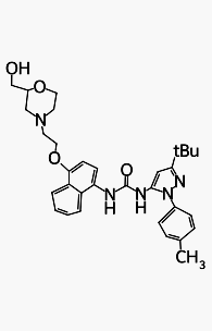 Cc1ccc(-n2nc(C(C)(C)C)cc2NC(=O)Nc2ccc(OCCN3CCOC(CO)C3)c3ccccc23)cc1